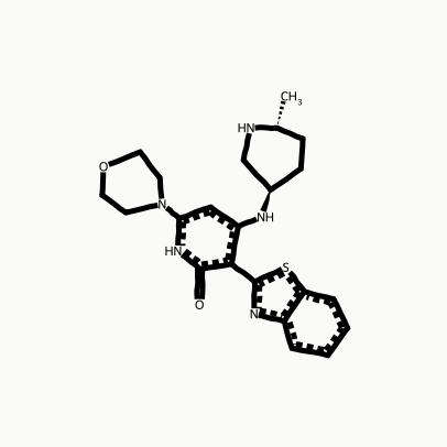 C[C@@H]1CC[C@@H](Nc2cc(N3CCOCC3)[nH]c(=O)c2-c2nc3ccccc3s2)CN1